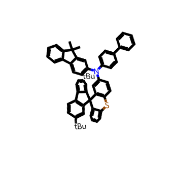 CC(C)(C)c1ccc2c(c1)C1(c3ccccc3Sc3ccc(N(c4ccc(-c5ccccc5)cc4)c4ccc5c(c4)C(C)(C)c4ccccc4-5)cc31)c1cc(C(C)(C)C)ccc1-2